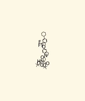 CC(C)(C)OC(=O)NC(CC(=O)N1CCc2cc(OCc3ccc(C4CCCCC4)cc3C(F)(F)F)ccc21)C(=O)OC(C)(C)C